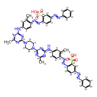 Cc1nc(Nc2ccc(N=Nc3ccc(N=Nc4ccccc4)cc3S(=O)(=O)O)c(C)c2)nc(N2CCN(c3nc(C)nc(Nc4ccc(N=Nc5ccc(N=Nc6ccccc6)cc5S(=O)(=O)O)c(C)c4)n3)CC2)n1